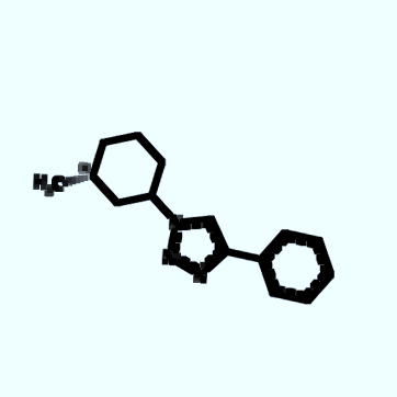 C[C@@H]1CCCC(n2cc(-c3ccccc3)nn2)C1